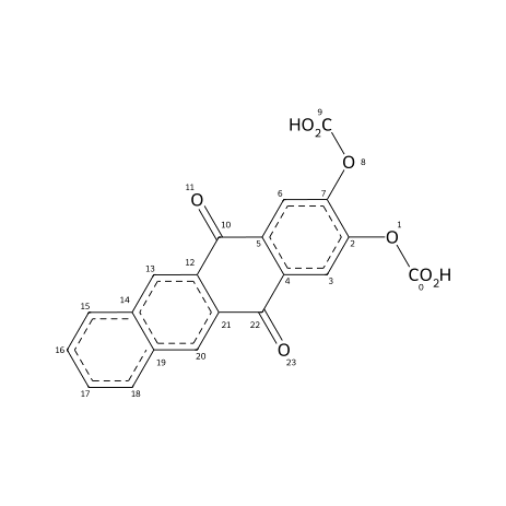 O=C(O)Oc1cc2c(cc1OC(=O)O)C(=O)c1cc3ccccc3cc1C2=O